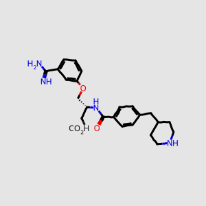 N=C(N)c1cccc(OC[C@@H](CC(=O)O)NC(=O)c2ccc(CC3CCNCC3)cc2)c1